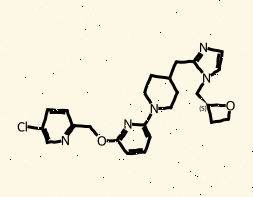 Clc1ccc(COc2cccc(N3CCC(Cc4nccn4C[C@@H]4CCO4)CC3)n2)nc1